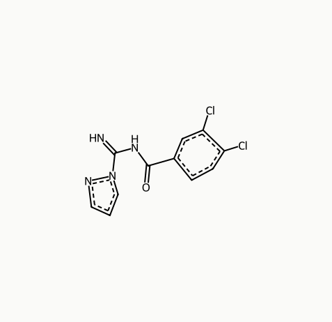 N=C(NC(=O)c1ccc(Cl)c(Cl)c1)n1cccn1